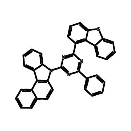 c1ccc(-c2nc(-c3cccc4sc5ccccc5c34)nc(-n3c4ccccc4c4c5ccccc5ccc43)n2)cc1